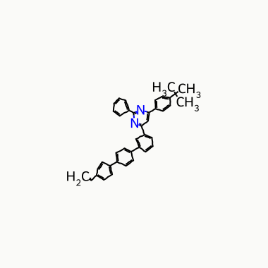 C=Cc1ccc(-c2ccc(-c3cccc(-c4cc(-c5ccc(C(C)(C)C)cc5)nc(-c5ccccc5)n4)c3)cc2)cc1